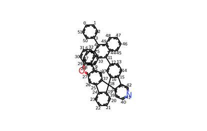 c1ccc(-c2c3ccccc3c(-c3ccc4c(c3)C3(c5ccccc5-c5cc6oc7ccccc7c6cc53)c3ccncc3-4)c3ccccc23)cc1